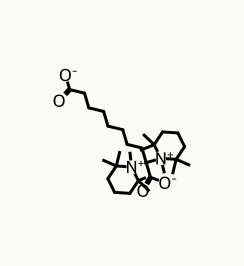 CC1(C)CCCC(C)(C)[N+]1(C)C(CCCCCCCC(=O)[O-])(C(=O)[O-])[N+]1(C)C(C)(C)CCCC1(C)C